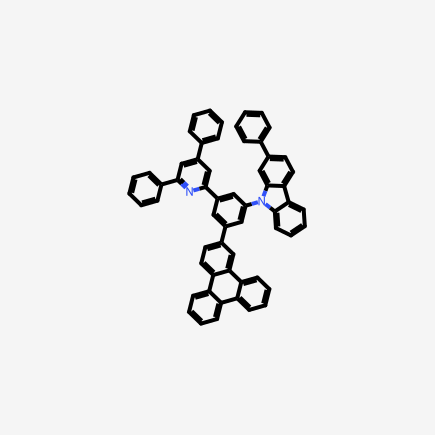 c1ccc(-c2cc(-c3ccccc3)nc(-c3cc(-c4ccc5c6ccccc6c6ccccc6c5c4)cc(-n4c5ccccc5c5ccc(-c6ccccc6)cc54)c3)c2)cc1